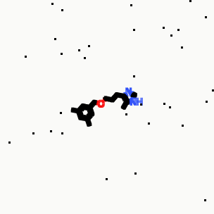 Cc1cc(C)cc(COCCCc2nc[nH]c2C)c1